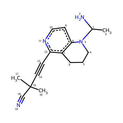 CC(N)N1CCCc2c1ccnc2C#CC(C)(C)C#N